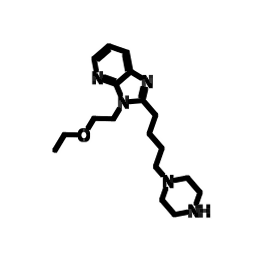 CCOCCn1c(CCCCN2CCNCC2)nc2cccnc21